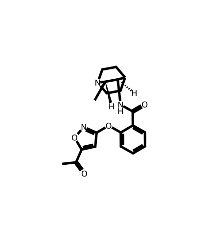 CC(=O)c1cc(Oc2ccccc2C(=O)N[C@@H]2C3CCN(CC3)[C@H]2C)no1